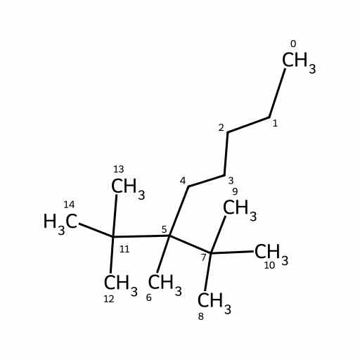 CCCCCC(C)(C(C)(C)C)C(C)(C)C